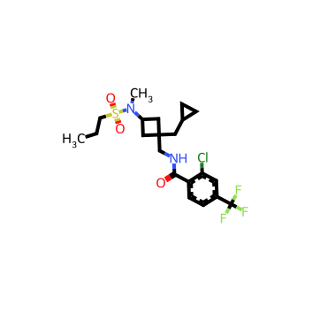 CCCS(=O)(=O)N(C)C1CC(CNC(=O)c2ccc(C(F)(F)F)cc2Cl)(CC2CC2)C1